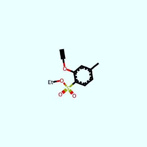 C#COc1cc(C)ccc1S(=O)(=O)OCC